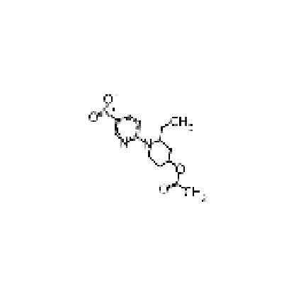 CCC1CC(OC(C)=O)CCN1c1ccc([N+](=O)[O-])cn1